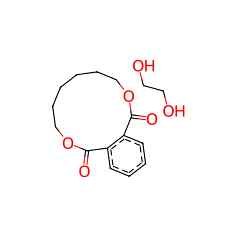 O=C1OCCCCCCOC(=O)c2ccccc21.OCCO